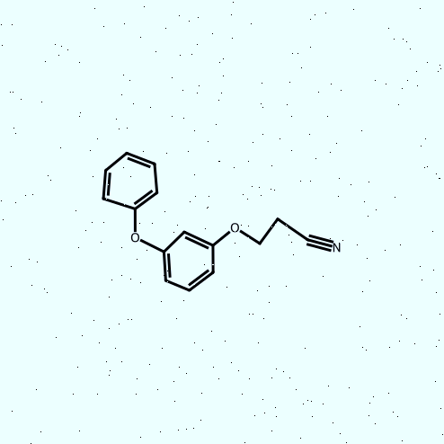 N#CCCOc1cccc(Oc2ccccc2)c1